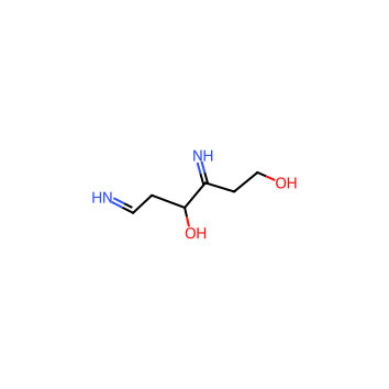 N=CCC(O)C(=N)CCO